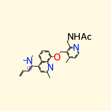 C=C/C=C(/c1cc(C)nc2c(OCc3c(C)ccnc3CNC(C)=O)cccc12)N(C)C